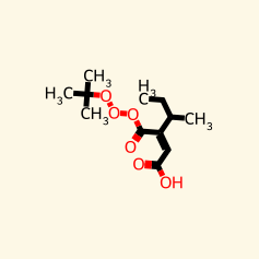 CCC(C)C(=CC(=O)O)C(=O)OOOC(C)(C)C